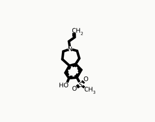 C=CCN1CCc2cc(O)c(S(C)(=O)=O)cc2CC1